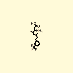 CC(CCc1cccc(C(F)(F)F)c1)CC(C)C(N)CC(=O)O